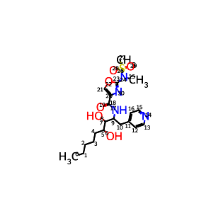 CCCCCC(O)C(O)C(Cc1ccncc1)NC(=O)c1coc(N(C)S(C)(=O)=O)n1